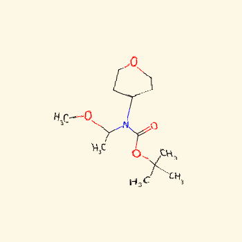 COC(C)N(C(=O)OC(C)(C)C)C1CCOCC1